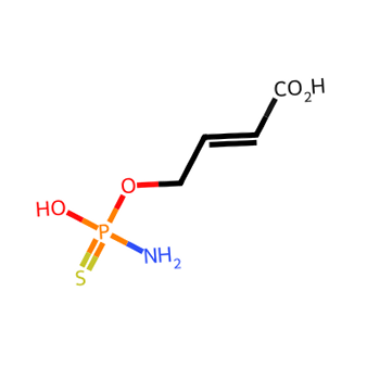 NP(O)(=S)OCC=CC(=O)O